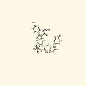 CNC(=O)c1c(-c2ccc(F)cc2)oc2cc(N(C)S(C)(=O)=O)c(-c3cnc4ccn(-c5ccc(F)cc5)c4c3)cc12